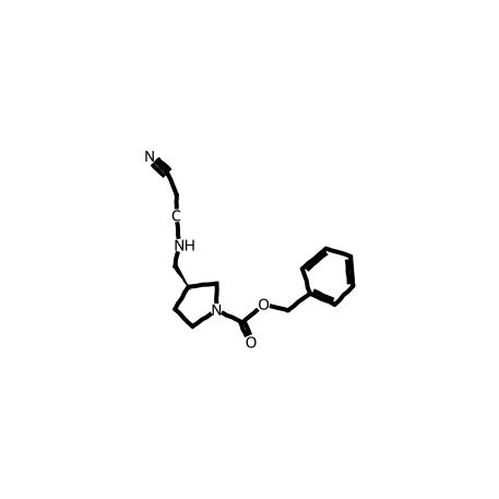 N#CCCNC[C@@H]1CCN(C(=O)OCc2ccccc2)C1